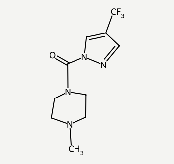 CN1CCN(C(=O)n2cc(C(F)(F)F)cn2)CC1